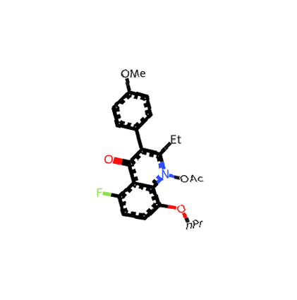 CCCOc1ccc(F)c2c(=O)c(-c3ccc(OC)cc3)c(CC)n(OC(C)=O)c12